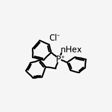 CCCCCC[P+](Cc1ccccc1)(c1ccccc1)c1ccccc1.[Cl-]